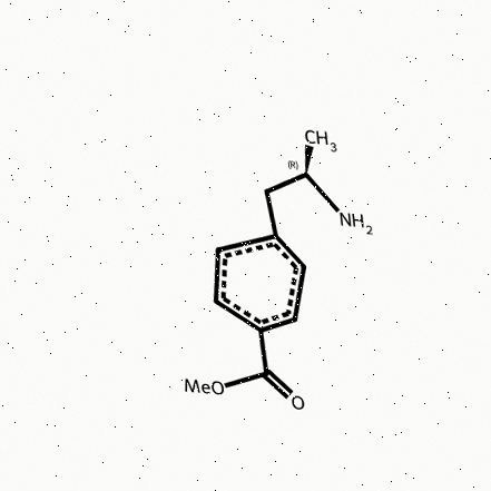 COC(=O)c1ccc(C[C@@H](C)N)cc1